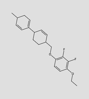 CCOc1ccc(OCC2C=CC(C3=CCC(C)C=C3)CC2)c(F)c1F